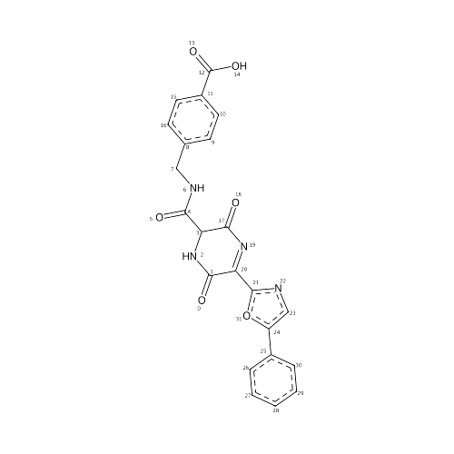 O=C1NC(C(=O)NCc2ccc(C(=O)O)cc2)C(=O)N=C1c1ncc(-c2ccccc2)o1